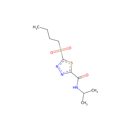 CCCCS(=O)(=O)c1nnc(C(=O)NC(C)C)s1